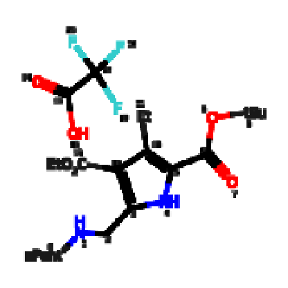 CCCCCNCc1[nH]c(C(=O)OC(C)(C)C)c(CC)c1C(=O)OCC.O=C(O)C(F)(F)F